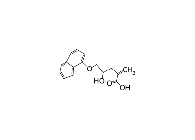 C=C(CC(O)COc1cccc2ccccc12)C(=O)O